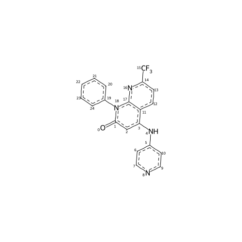 O=c1cc(Nc2ccncc2)c2ccc(C(F)(F)F)nc2n1-c1ccccc1